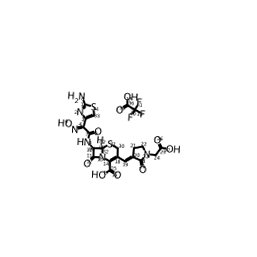 Nc1nc(C(=NO)C(=O)N[C@@H]2C(=O)N3C(C(=O)O)=C(C=C4CCN(CC(=O)O)C4=O)CS[C@H]23)cs1.O=C(O)C(F)(F)F